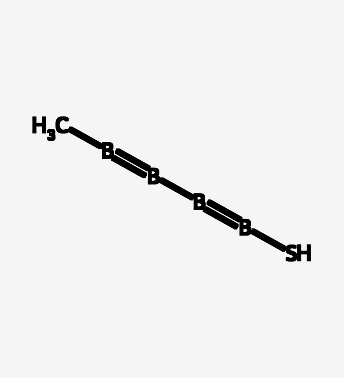 CB=BB=BS